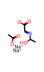 CC(=O)[O-].CC(O)N=CC(=O)[O-].[Na+].[Na+]